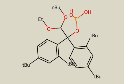 CCCCOC(OCC)C(OP(O)O)(c1ccc(C(C)(C)C)cc1C(C)(C)C)c1ccc(C(C)(C)C)cc1C(C)(C)C